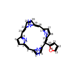 C1=Cc2cc3ccc([nH]3)c(-c3ccco3)c3nc(cc4ccc(cc1n2)[nH]4)C=C3